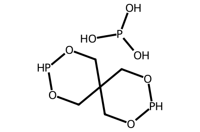 C1OPOCC12COPOC2.OP(O)O